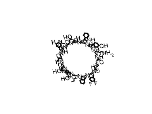 CCCC[C@H]1C(=O)N2C[C@H](O)C[C@@H]2C(=O)N[C@@H](CC(=O)O)C(=O)N[C@@H](C(C)C)C(=O)N(C)[C@H](Cc2ccccc2)C(=O)N[C@@H](CCN)C(=O)N2C[C@H](O)C[C@@H]2C(=O)N[C@@H](Cc2c[nH]c3ccccc23)C(=O)N[C@@H](Cc2ccc(O)cc2)C(=O)N[C@@H](CCCN)C(=O)N[C@H](C=O)CSCC(=O)N[C@@H](Cc2ccc(F)c(F)c2)C(=O)N(C)[C@@H](Cc2ccccc2)C(=O)N1C